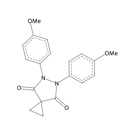 COc1ccc(N2C(=O)C3(CC3)C(=O)N2c2ccc(OC)cc2)cc1